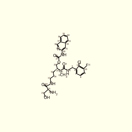 CN(C(=O)NCc1cccc(F)c1Cl)[C@@H](CCCNC(=O)[C@@H](N)CO)COC(=O)Nc1cc2ccccc2cn1